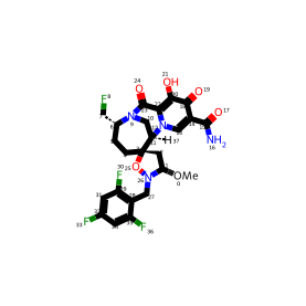 COC1C[C@]2(CC[C@H](CF)N3C[C@H]2n2cc(C(N)=O)c(=O)c(O)c2C3=O)ON1Cc1c(F)cc(F)cc1F